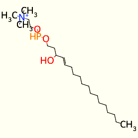 CCCCCCCCCCCCC/C=C/C(O)CCOPOCC[N+](C)(C)C